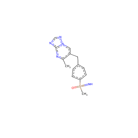 Cc1nc2ncnn2cc1Cc1ccc(S(C)(=N)=O)cc1